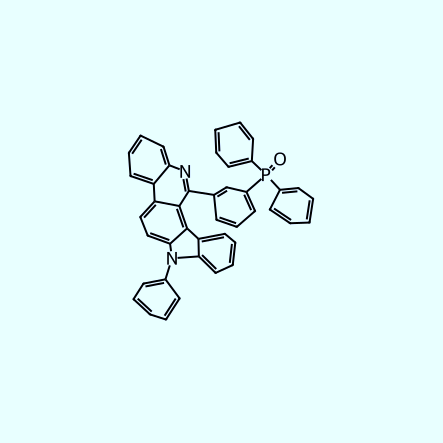 O=P(c1ccccc1)(c1ccccc1)c1cccc(-c2nc3ccccc3c3ccc4c(c5ccccc5n4-c4ccccc4)c23)c1